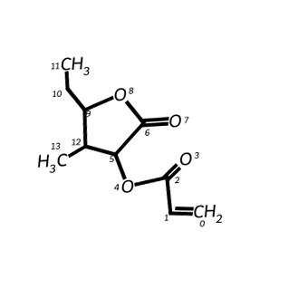 C=CC(=O)OC1C(=O)OC(CC)C1C